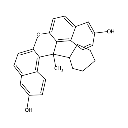 CC1(C2CCCCC2)c2c(ccc3cc(O)ccc23)Oc2ccc3cc(O)ccc3c21